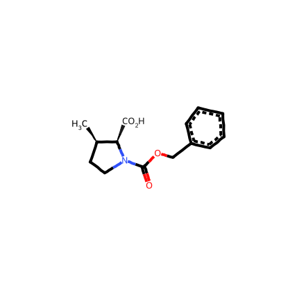 C[C@@H]1CCN(C(=O)OCc2ccccc2)[C@@H]1C(=O)O